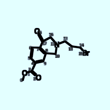 COC(=O)c1ccc2c(c1)CN(CCCBr)CC2=O